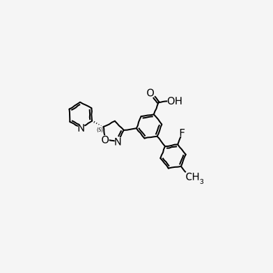 Cc1ccc(-c2cc(C(=O)O)cc(C3=NO[C@H](c4ccccn4)C3)c2)c(F)c1